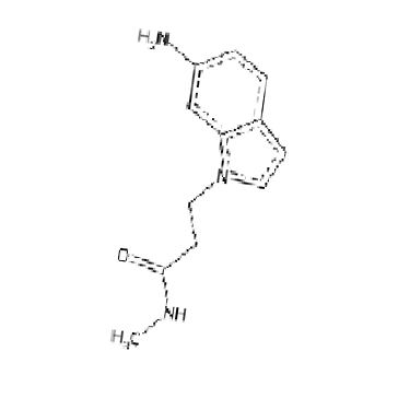 CNC(=O)CCn1ccc2ccc(N)cc21